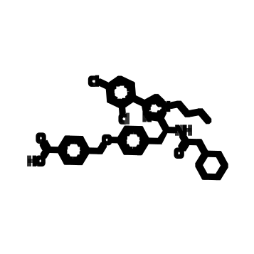 CCCCn1cc(-c2ccc(Cl)cc2Cl)nc1[C@H](Cc1ccc(OCc2ccc(C(=O)O)cc2)cc1)NC(=O)CC1CCCCC1